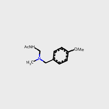 COc1ccc(CN(C)CNC(C)=O)cc1